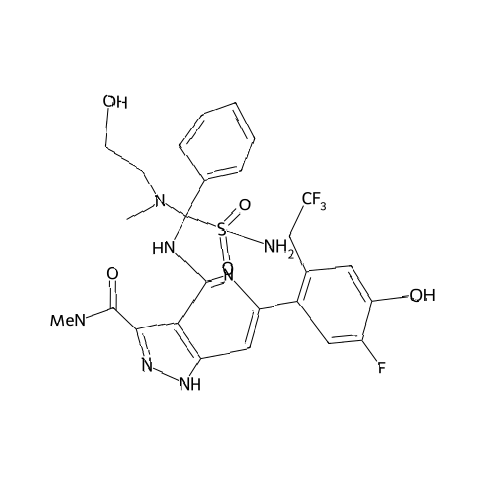 CNC(=O)c1n[nH]c2cc(-c3cc(F)c(O)cc3CC(F)(F)F)nc(NC(c3ccccc3)(N(C)CCO)S(N)(=O)=O)c12